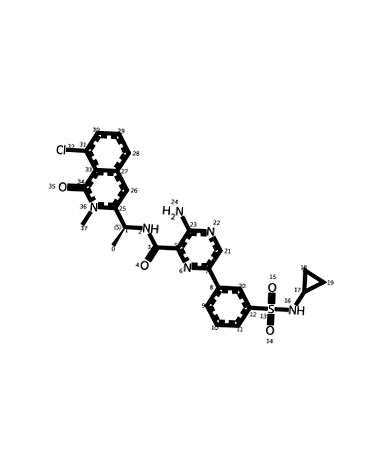 C[C@H](NC(=O)c1nc(-c2cccc(S(=O)(=O)NC3CC3)c2)cnc1N)c1cc2cccc(Cl)c2c(=O)n1C